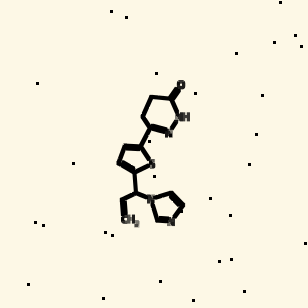 C=CC(c1ccc(C2=NNC(=O)CC2)s1)n1ccnc1